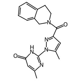 Cc1cc(=O)[nH]c(-n2nc(C(=O)N3CCc4ccccc4C3)cc2C)n1